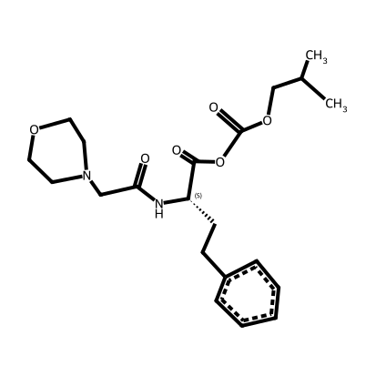 CC(C)COC(=O)OC(=O)[C@H](CCc1ccccc1)NC(=O)CN1CCOCC1